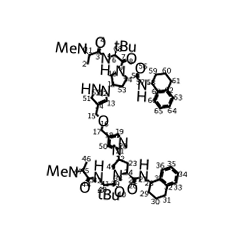 CN[C@@H](C)C(=O)N[C@H](C(=O)N1C[C@@H](N2C=C(COCc3cnn([C@H]4C[C@@H](C(=O)N[C@@H]5CCCc6ccccc65)N(C(=O)[C@@H](NC(=O)[C@H](C)NC)C(C)(C)C)C4)c3)CN2)C[C@H]1C(=O)N[C@@H]1CCCc2ccccc21)C(C)(C)C